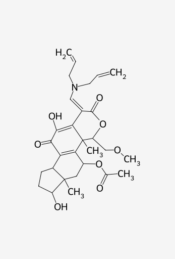 C=CCN(C=C1C(=O)OC(COC)C2(C)C1=C(O)C(=O)C1=C2C(OC(C)=O)CC2(C)C(O)CCC12)CC=C